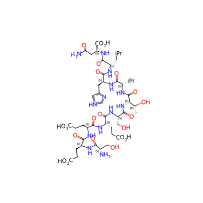 CC(C)C[C@H](NC(=O)[C@H](Cc1c[nH]cn1)NC(=O)[C@@H](NC(=O)[C@@H](NC(=O)[C@H](CO)NC(=O)[C@H](CCC(=O)O)NC(=O)[C@H](CCC(=O)O)NC(=O)[C@H](CCC(=O)O)NC(=O)[C@@H](N)CO)[C@@H](C)O)C(C)C)C(=O)N[C@@H](CC(N)=O)C(=O)O